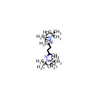 C/C(CC/C(C)=N/N([Si](C)(C)C)[Si](C)(C)C)=N\N([Si](C)(C)C)[Si](C)(C)C